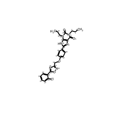 CCCn1c(=O)c2nc(-c3ccc(OCc4noc(-c5ccccc5Cl)n4)cc3)[nH]c2n(CCC)c1=O